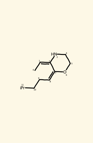 C/C=C1/NCCO/C1=C/CCC(C)C